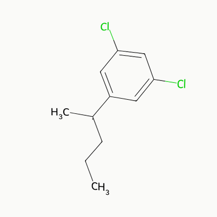 CCC[C](C)c1cc(Cl)cc(Cl)c1